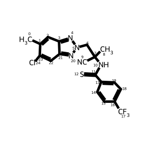 Cc1cc2nn(CC(C)(C#N)NC(=S)c3ccc(C(F)(F)F)cc3)nc2cc1Cl